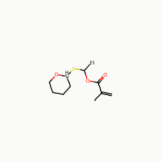 C=C(C)C(=O)OC(CC)S[SiH]1CCCCO1